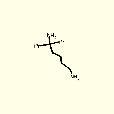 CC(C)C(N)(CCCCN)C(C)C